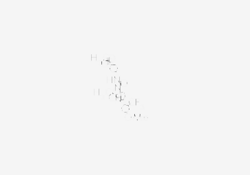 COc1ccc(-c2ccc3c(n2)C(C)(C)CN3C(=O)NCc2ccc(S(C)(=O)=O)cc2)c(C(F)(F)F)c1